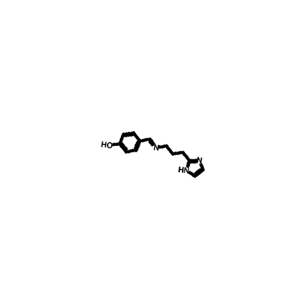 Oc1ccc(C=NCCCc2ncc[nH]2)cc1